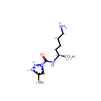 CC(C)(C)c1cn(C(=O)N[C@@H](CCCCN)C(=O)O)nn1